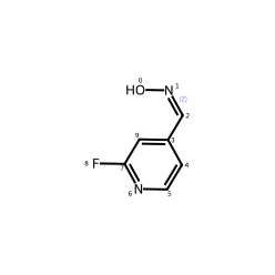 O/N=C\c1ccnc(F)c1